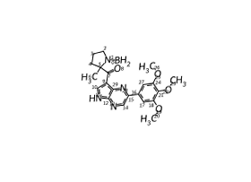 BN1CCCC1(C)C(=O)c1c[nH]c2ncc(-c3cc(OC)c(OC)c(OC)c3)nc12